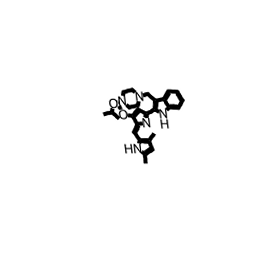 COC1=CC(c2[nH]c3ccccc3c2CN2CCN(OC(C)C)CC2)=N/C1=C\c1[nH]c(C)cc1C